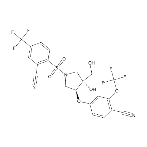 N#Cc1ccc(O[C@H]2CN(S(=O)(=O)c3ccc(C(F)(F)F)cc3C#N)C[C@@]2(O)CO)cc1OC(F)(F)F